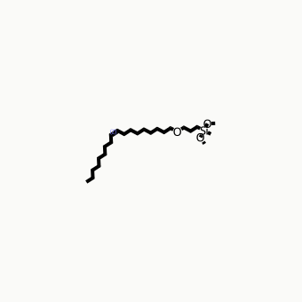 CCCCCCCC/C=C\CCCCCCCCOCCC[Si](C)(OC)OC